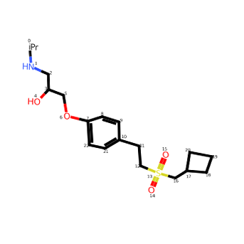 CC(C)NCC(O)COc1ccc(CCS(=O)(=O)CC2CCC2)cc1